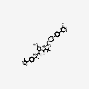 Cc1ncsc1-c1ccc([C@H](C)NC(=O)C2CC(O)CN2C(=O)C(NC(=O)CN2CCN(c3ccc(-c4cnnc(Cl)c4)cc3)CC2)C(C)(C)C)cc1